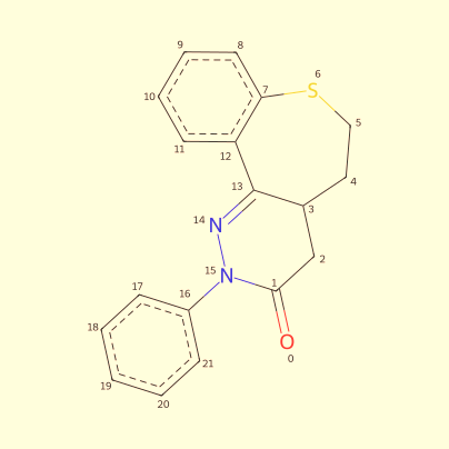 O=C1CC2CCSc3ccccc3C2=NN1c1ccccc1